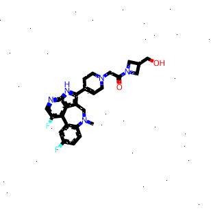 CN1Cc2c(C3=CCN(CC(=O)N4CC(CO)C4)CC3)[nH]c3ncc(F)c(c23)-c2cc(F)ccc21